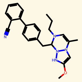 CCCN1C=C(C)N2C=C(OC)NN2C1Cc1ccc(-c2ccccc2C#N)cc1